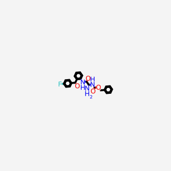 NC(NC(=O)OCc1ccccc1)C(=O)Nc1ccccc1C(=O)c1ccc(F)cc1